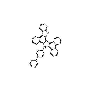 c1ccc(-c2ccc(-n3c4c5ccccc5c5ccccc5c4c4c5sc6ccccc6c5c5ccccc5c43)cc2)cc1